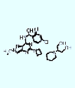 C[C@@H](Nc1nc(N2CC([C@H]3CCCN(C(CO)CO)C3)C2)nc2cn(C)nc12)c1ccc(Cl)cc1Cl